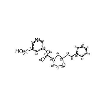 O=C(O)c1cncc(OC(=O)N2CCOC(CCc3ccccc3)C2)c1